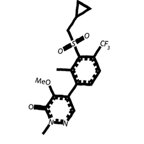 COc1c(-c2ccc(C(F)(F)F)c(S(=O)(=O)CC3CC3)c2C)cnn(C)c1=O